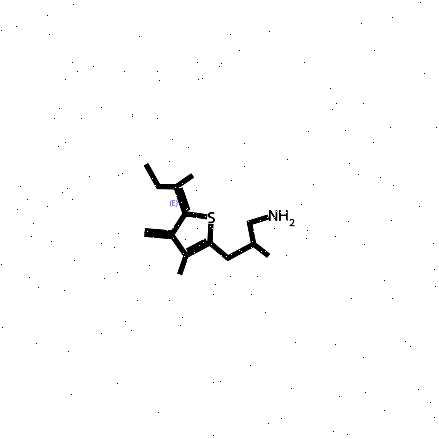 C=c1c(C)c(CC(C)CN)s/c1=C(\C)CC